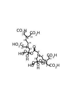 O=C(O)CN(CCN(CC(=O)OC(O)(CN(CCN(CC(=O)O)CC(=O)O)CC(=O)O)OO)CC(O)(OO)OO)CC(=O)O